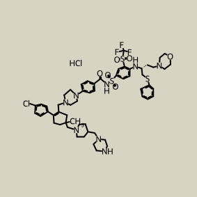 CC1(CN2CCC(CN3CCNCC3)CC2)CCC(c2ccc(Cl)cc2)=C(CN2CCN(c3ccc(C(=O)NS(=O)(=O)c4ccc(N[C@H](CCN5CCOCC5)CSc5ccccc5)c(S(=O)(=O)C(F)(F)F)c4)cc3)CC2)C1.Cl